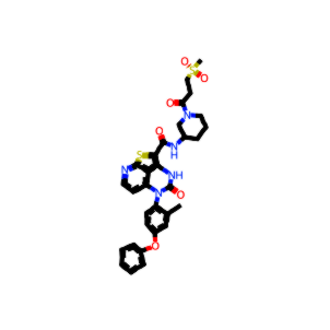 Cc1cc(Oc2ccccc2)ccc1N1C(=O)Nc2c(C(=O)NC3CCCN(C(=O)CCS(C)(=O)=O)C3)sc3nccc1c23